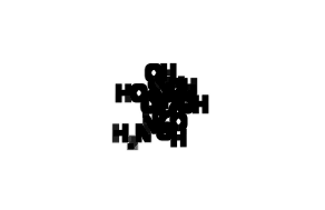 Cl.NNC(=O)c1cc(C(N)(CO)C(=O)O)c(O)c(O)c1O